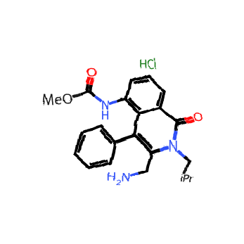 COC(=O)Nc1cccc2c(=O)n(CC(C)C)c(CN)c(-c3ccccc3)c12.Cl